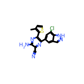 Cc1ccsc1-c1nc(N)c(C#N)nc1-c1cc(Cl)c2[nH]ncc2c1